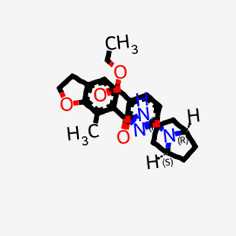 CCOC(=O)c1ccc(N2[C@@H]3CC[C@H]2C[C@@H](NC(=O)c2ccc4c(c2C)OCC4)C3)nc1